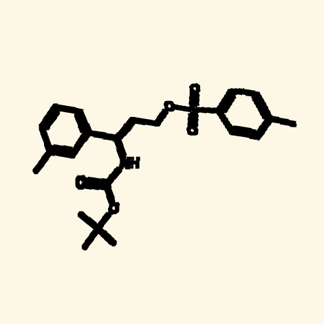 Cc1ccc(S(=O)(=O)OCCC(NC(=O)OC(C)(C)C)c2cccc(C)c2)cc1